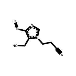 N#CCCn1cnc(N=O)c1CO